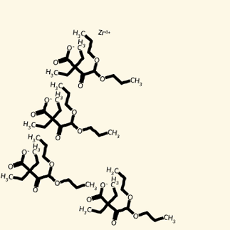 CCCOC(OCCC)C(=O)C(CC)(CC)C(=O)[O-].CCCOC(OCCC)C(=O)C(CC)(CC)C(=O)[O-].CCCOC(OCCC)C(=O)C(CC)(CC)C(=O)[O-].CCCOC(OCCC)C(=O)C(CC)(CC)C(=O)[O-].[Zr+4]